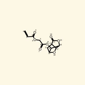 C=CC(=O)OCC(=O)OC1C2CC3C(=O)OC1C3O2